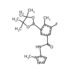 Cc1c(F)cc(C(=O)Nc2ccnn2C)cc1B1OC(C)(C)C(C)(C)O1